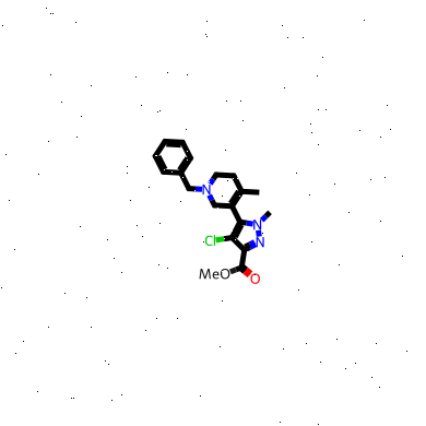 COC(=O)c1nn(C)c(C2=C(C)CCN(Cc3ccccc3)C2)c1Cl